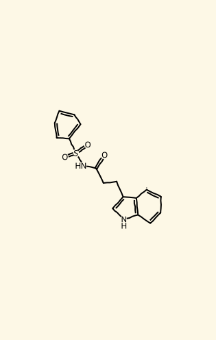 O=C(CCc1c[nH]c2ccc[c]c12)NS(=O)(=O)c1ccccc1